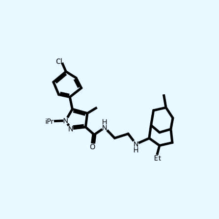 CCC1CC2CC(C)CC(C2)C1NCCNC(=O)c1nn(C(C)C)c(-c2ccc(Cl)cc2)c1C